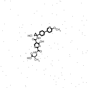 COc1ccc(-c2ccc(C3(NC(=O)c4cnc(C(=O)NC[C@@H](C)C(=O)O)nc4O)CC3)cc2)cn1.Cl